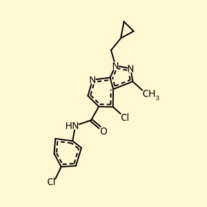 Cc1nn(CC2CC2)c2ncc(C(=O)Nc3ccc(Cl)cc3)c(Cl)c12